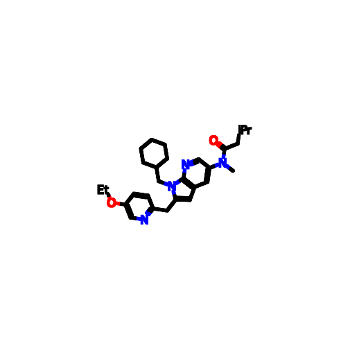 CCOc1ccc(Cc2cc3cc(N(C)C(=O)CC(C)C)cnc3n2CC2CCCCC2)nc1